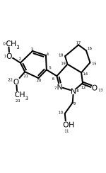 COc1ccc(C2=NN(CCO)C(=O)C3CCCCC23)cc1OC